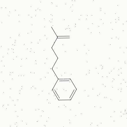 C=C(C)CC[CH]c1ccccc1